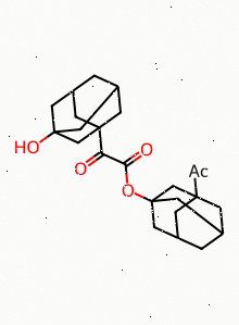 CC(=O)C12CC3CC(CC(OC(=O)C(=O)C45CC6CC(CC(O)(C6)C4)C5)(C3)C1)C2